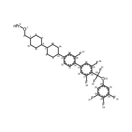 CCCOCC1CCC(C2CCC(c3ccc(-c4cc(F)c(C(F)(F)Oc5cc(F)c(F)c(F)c5)c(F)c4)c(F)c3)CC2)CC1